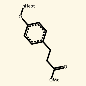 CCCCCCCOc1ccc(CCC(=O)OC)cc1